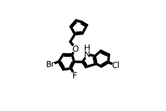 Fc1cc(Br)cc(OCc2ccccc2)c1-c1cc2cc(Cl)ccc2[nH]1